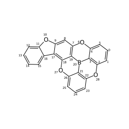 c1cc2c3c(c1)Oc1cc4oc5ccccc5c4c4c1B3c1c(cccc1O4)O2